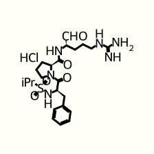 CC(C)S(=O)(=O)N[C@H](Cc1ccccc1)C(=O)N1CCC[C@H]1C(=O)N[C@H](C=O)CCCNC(=N)N.Cl